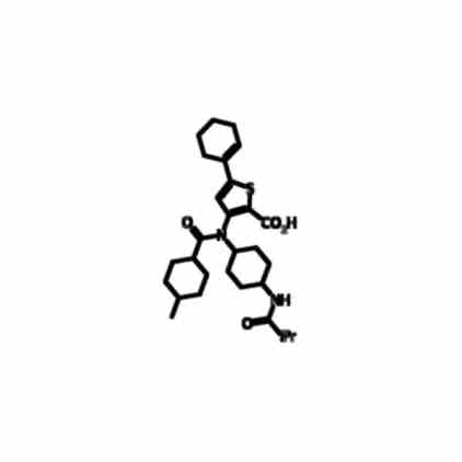 CC1CCC(C(=O)N(c2cc(C3=CCCCC3)sc2C(=O)O)C2CCC(NC(=O)C(C)C)CC2)CC1